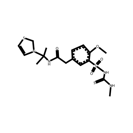 CNC(=S)NS(=O)(=O)c1cc(CC(=O)NC(C)(C)N2C=CSC2)ccc1OC